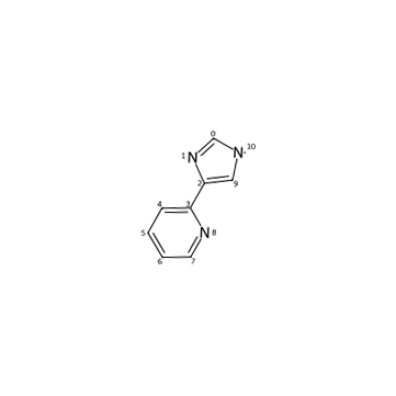 C1=NC(c2ccccn2)=C[N]1